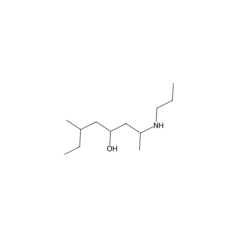 CCCNC(C)CC(O)CC(C)CC